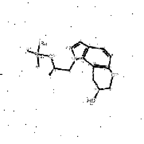 C[C@H](Cn1ncc2ccc3c(c21)C[C@H](O)CO3)O[Si](C)(C)C(C)(C)C